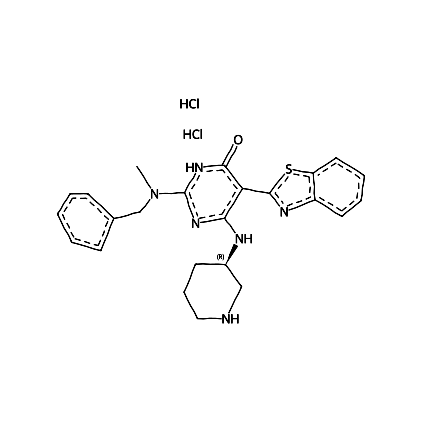 CN(Cc1ccccc1)c1nc(N[C@@H]2CCCNC2)c(-c2nc3ccccc3s2)c(=O)[nH]1.Cl.Cl